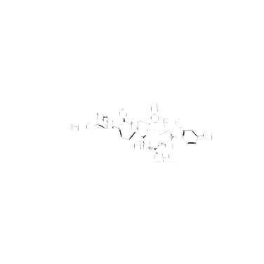 Cc1cn(-c2ccc(C(=O)N[C@@H](C)[C@@H]3CC[C@H](c4ccc(Cl)cc4C(F)(F)F)O3)n(CCO)c2=O)cn1